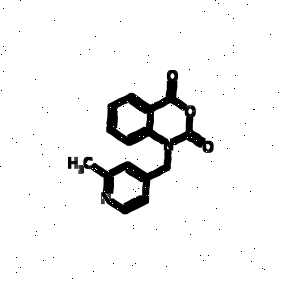 Cc1cc(Cn2c(=O)oc(=O)c3ccccc32)ccn1